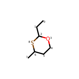 CCC1OCCC(C)S1